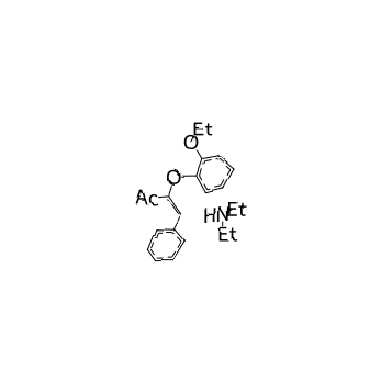 CCNCC.CCOc1ccccc1OC(=Cc1ccccc1)C(C)=O